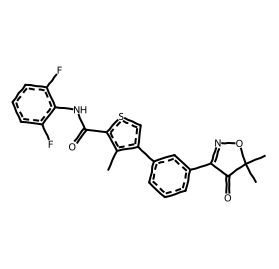 Cc1c(-c2cccc(C3=NOC(C)(C)C3=O)c2)csc1C(=O)Nc1c(F)cccc1F